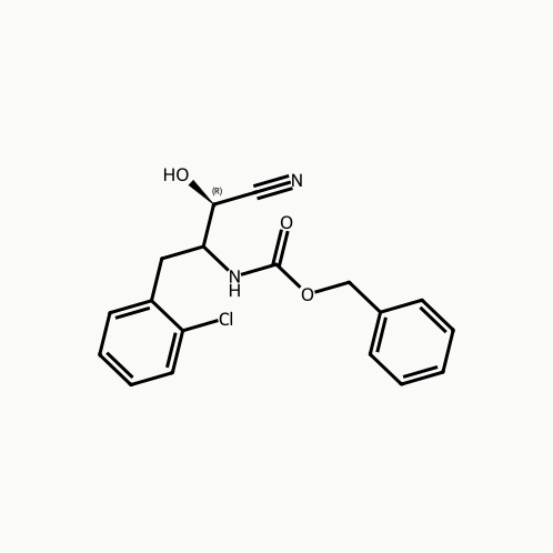 N#C[C@H](O)C(Cc1ccccc1Cl)NC(=O)OCc1ccccc1